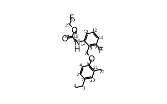 CCc1ccc(OCc2c(F)cccc2NC(=O)OCF)c(C)c1